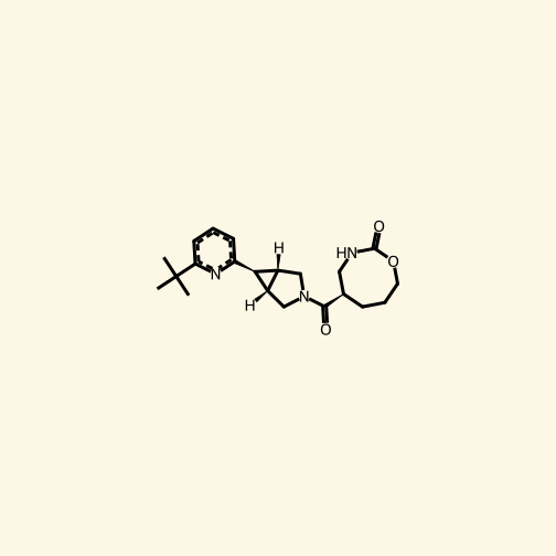 CC(C)(C)c1cccc([C@H]2[C@@H]3CN(C(=O)[C@@H]4CCCOC(=O)NC4)C[C@@H]32)n1